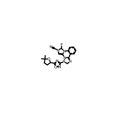 CC1(C)CCC(c2nc(N3CN=C4c5ccccc5N5C(=CN(C#N)C5F)N43)no2)O1